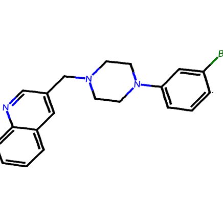 Brc1[c]ccc(N2CCN(Cc3cnc4ccccc4c3)CC2)c1